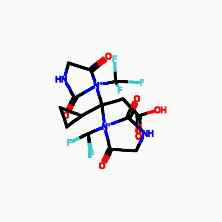 O=C(O)CC(C1CC1)([N+]1(C(F)(F)F)C(=O)CNC1=O)[N+]1(C(F)(F)F)C(=O)CNC1=O